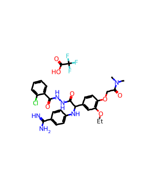 CCOc1cc(C(Nc2ccc(C(=N)N)cc2)C(=O)NNC(=O)c2ccccc2Cl)ccc1OCC(=O)N(C)C.O=C(O)C(F)(F)F